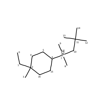 CCC1(C)CCC([PH](C)(C)CC(C)(C)C)CC1